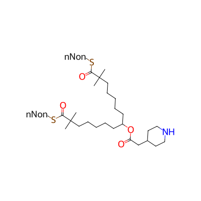 CCCCCCCCCSC(=O)C(C)(C)CCCCCC(CCCCCC(C)(C)C(=O)SCCCCCCCCC)OC(=O)CC1CCNCC1